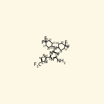 Nc1nc(-c2nc(C(F)(F)F)cs2)nc(N(C2CCC(F)(F)CC2)C2CCC(F)(F)CC2)n1